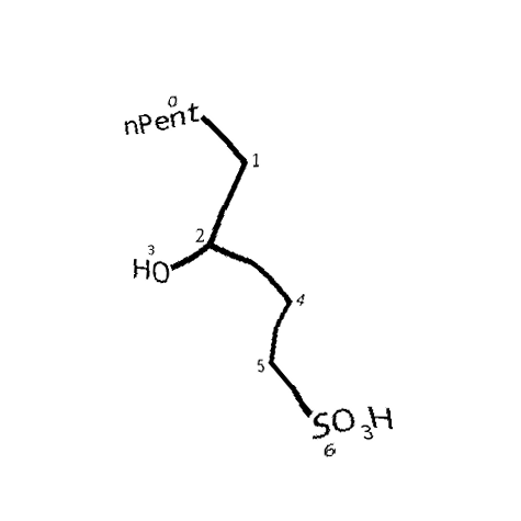 CCCCCCC(O)CCS(=O)(=O)O